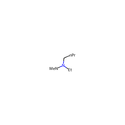 [CH2]NN(CC)CCCC